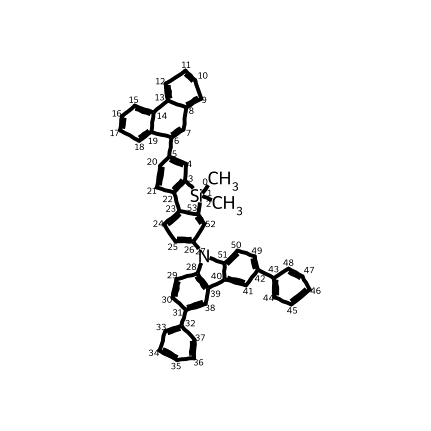 C[Si]1(C)c2cc(-c3cc4ccccc4c4ccccc34)ccc2-c2ccc(-n3c4ccc(-c5ccccc5)cc4c4cc(-c5ccccc5)ccc43)cc21